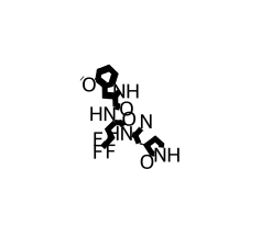 COc1cccc2[nH]c(C(=O)NC(CCC(F)(F)F)C(=O)NC(C#N)C[C@@H]3CCNC3=O)cc12